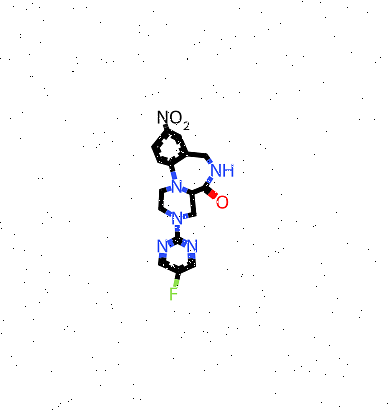 O=C1NCc2cc([N+](=O)[O-])ccc2N2CCN(c3ncc(F)cn3)CC12